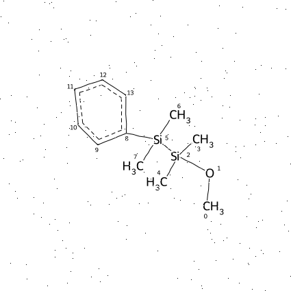 CO[Si](C)(C)[Si](C)(C)c1ccccc1